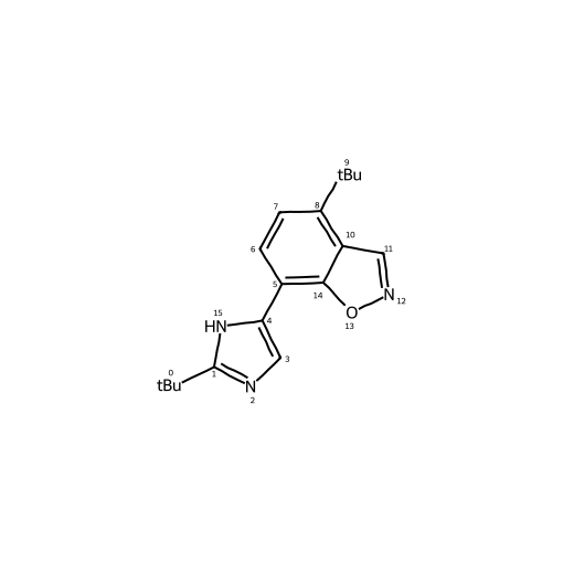 CC(C)(C)c1ncc(-c2ccc(C(C)(C)C)c3cnoc23)[nH]1